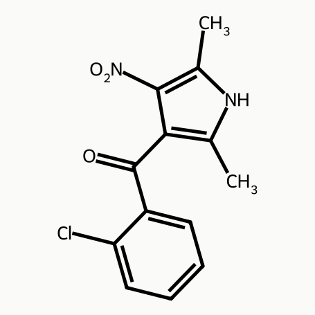 Cc1[nH]c(C)c([N+](=O)[O-])c1C(=O)c1ccccc1Cl